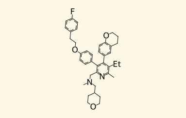 CCc1c(C)nc(CN(C)CC2CCOCC2)c(-c2ccc(OCCc3ccc(F)cc3)cc2)c1-c1ccc2c(c1)CCCO2